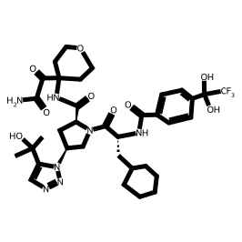 CC(C)(O)c1cnnn1[C@H]1C[C@@H](C(=O)NC2(C(=O)C(N)=O)CCOCC2)N(C(=O)[C@@H](CC2CCCCC2)NC(=O)c2ccc(C(O)(O)C(F)(F)F)cc2)C1